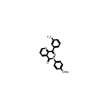 COc1ccc(-n2nc(-c3cccc(C(F)(F)F)c3)c3ncccc3c2=O)cc1